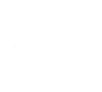 COc1cc(CC2SC(=O)NC2=O)cc(O)c1O